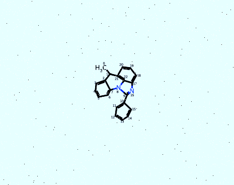 CC1c2ccccc2-n2c(-c3ccccc3)nc3cccc1c32